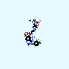 COc1cc2ncnc(Nc3cccc(Cl)c3F)c2cc1OCCCN1CC2(C1)CN(C)C(=O)O2